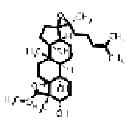 COC(=O)[C@]1(C)[C@@H]2CC[C@@]3(C)[C@@H](CC[C@@H]4[C@]3(C)CC[C@]43O[C@@]3(C)CCC=C(C)C)[C@@]2(C)CC[C@@H]1O